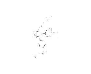 COCCOCc1nnc(-c2ccc(O[C@@H](C)COC)cc2)n1-c1ccc(OC)nc1